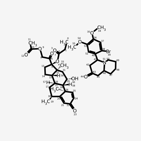 CCC(=O)O[C@]1(C(=O)COC(C)=O)CC[C@H]2[C@@H]3C[C@H](C)C4=CC(=O)C=C[C@]4(C)[C@H]3[C@@H](O)C[C@@]21C.COc1cc(Br)c(C2CC(=O)CC3CCCCN32)cc1OC